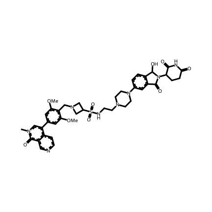 COc1cc(-c2cn(C)c(=O)c3cnccc23)cc(OC)c1CN1CC(S(=O)(=O)NCCN2CCN(c3ccc4c(c3)C(=O)N(C3CCC(=O)NC3=O)C4O)CC2)C1